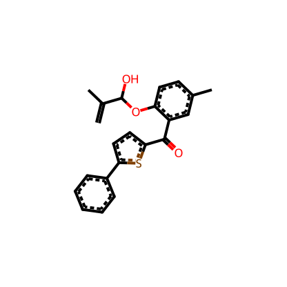 C=C(C)C(O)Oc1ccc(C)cc1C(=O)c1ccc(-c2ccccc2)s1